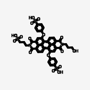 O=C1c2ccc3c4c(Oc5ccc(S(=O)(=O)O)cc5)cc5c6c(ccc(c7c(Oc8ccc(S(=O)(=O)O)cc8)cc(c2c37)C(=O)N1CCCO)c64)C(=O)N(CCCS(=O)(=O)O)C5=O